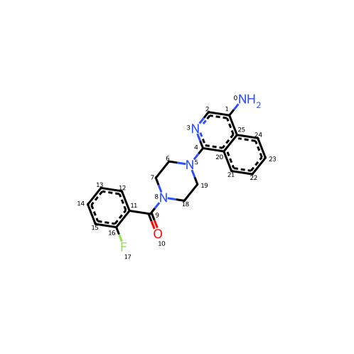 Nc1cnc(N2CCN(C(=O)c3ccccc3F)CC2)c2ccccc12